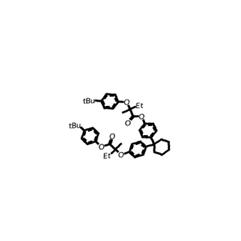 CCC(C)(Oc1ccc(C(C)(C)C)cc1)C(=O)Oc1ccc(C2(c3ccc(OC(C)(CC)C(=O)Oc4ccc(C(C)(C)C)cc4)cc3)CCCCC2)cc1